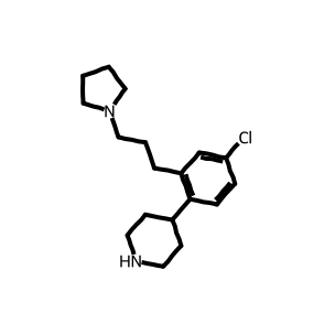 Clc1ccc(C2CCNCC2)c(CCCN2CCCC2)c1